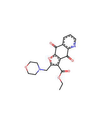 CCOC(=O)c1c(CN2CCOCC2)oc2c1C(=O)c1ncccc1C2=O